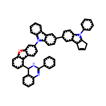 C1=Cc2c(n(-c3ccccc3)c3ccc(-c4ccc5c(c4)c4ccccc4n5-c4ccc5c(c4)oc4cccc(C6NC(c7ccccc7)=Nc7ccccc76)c45)cc23)C1